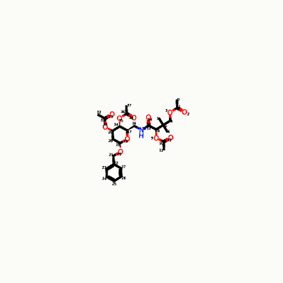 CC(=O)OCC(C)(C)[C@@H](OC(C)=O)C(=O)NC[C@H]1O[C@H](OCc2ccccc2)[CH][C@@H](OC(C)=O)[C@@H]1OC(C)=O